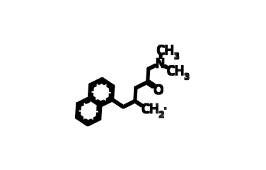 [CH2]C(CC(=O)CN(C)C)Cc1cccc2ccccc12